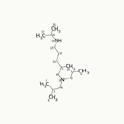 CCCN(CC(C)C)CC(C)CCCNC(C)C